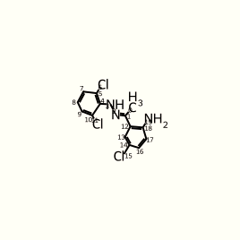 C/C(=N\Nc1c(Cl)cccc1Cl)c1cc(Cl)ccc1N